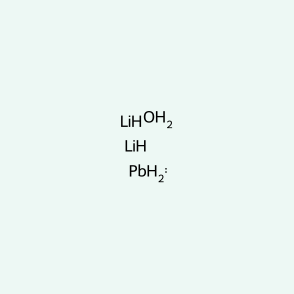 O.[LiH].[LiH].[PbH2]